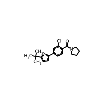 CC(C)(C)c1ccc(-c2ccc(C(=O)N3CCCC3)c(Cl)c2)s1